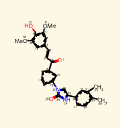 COc1cc(/C=C/C(=O)c2cccc(-n3cc(-c4ccc(C)c(C)c4)[nH]c3=O)c2)cc(OC)c1O